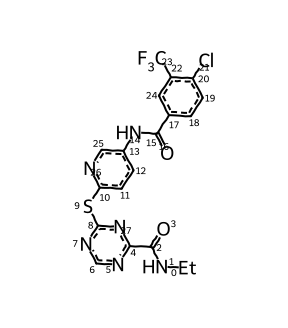 CCNC(=O)c1ncnc(Sc2ccc(NC(=O)c3ccc(Cl)c(C(F)(F)F)c3)cn2)n1